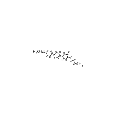 CC#CC1CCC(c2ccc(-c3ccc(CCCCC)c(F)c3)cc2)CC1